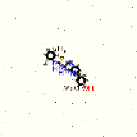 COc1cc(-c2ccc3ncc(NC(=S)Nc4cc(C)ccc4F)nc3n2)ccc1O